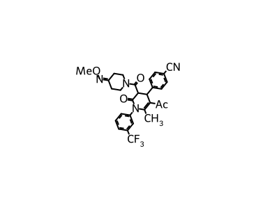 CON=C1CCN(C(=O)C2C(=O)N(c3cccc(C(F)(F)F)c3)C(C)=C(C(C)=O)C2c2ccc(C#N)cc2)CC1